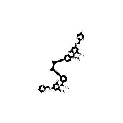 Cc1cc(OCc2ncccn2)cc(=O)n1C(C)c1cccc(C#CC2CC2C2CC2C#Cc2ccc([C@@H](C)n3c(C)cc(OCc4ncc(Cl)cn4)cc3=O)cc2)c1